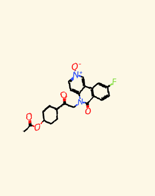 CC(=O)OC1CCC(C(=O)Cn2c(=O)c3ccc(F)cc3c3c[n+]([O-])ccc32)CC1